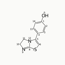 Oc1ccc(C2=CSC3=NCCN23)cc1